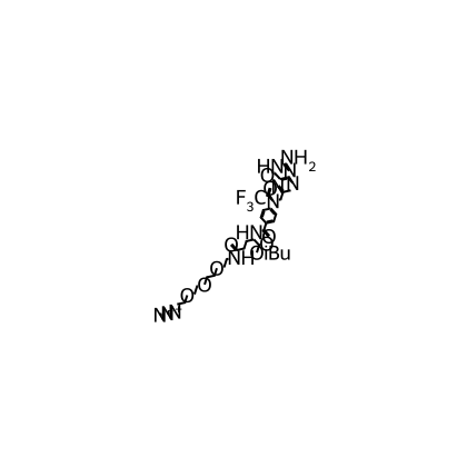 CC(C)COC(=O)C(CCC(=O)NCCOCCOCCOCCN=[N+]=[N-])NC(=O)c1ccc(N(Cc2cnc3nc(N)[nH]c(=O)c3n2)C(=O)C(F)(F)F)cc1